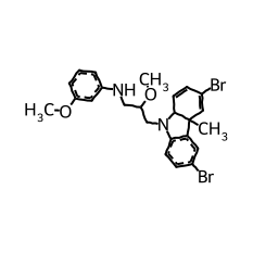 COc1cccc(NCC(CN2c3ccc(Br)cc3C3(C)C=C(Br)C=CC23)OC)c1